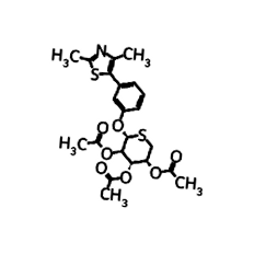 CC(=O)O[C@@H]1[C@@H](OC(C)=O)[C@@H](Oc2cccc(-c3sc(C)nc3C)c2)SC[C@H]1OC(C)=O